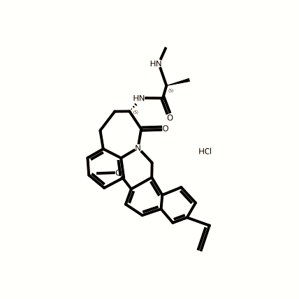 C=Cc1ccc2c(CN3C(=O)[C@@H](NC(=O)[C@H](C)NC)CCc4ccccc43)c(OC)ccc2c1.Cl